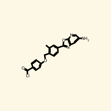 Cc1cc(-c2nc3cc(N)cnc3o2)ccc1COc1ccc(C(=O)Cl)cc1